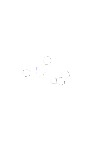 C1=Cc2c(oc3c2ccc2ccccc23)C(C2=NC(c3ccccc3)NC(c3ccccc3)=N2)C1